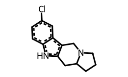 Clc1ccc2[nH]c3c(c2c1)CN1CCCC1C3